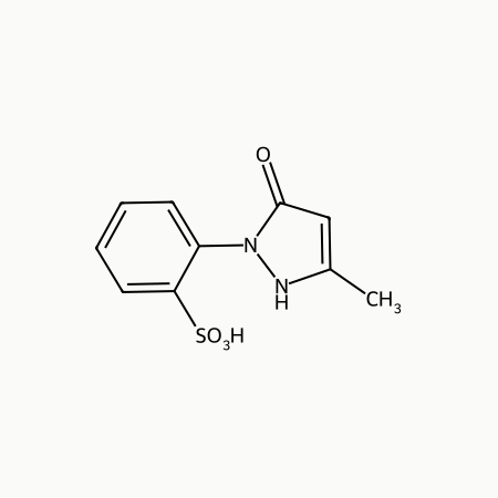 Cc1cc(=O)n(-c2ccccc2S(=O)(=O)O)[nH]1